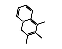 CC1=C(C)C(C)=C2C=CC=CN2C1